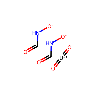 O=CN[O-].O=CN[O-].[O]=[U+2]=[O]